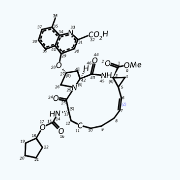 COC(=O)[C@@]12CC1/C=C\CCCCC[C@H](NC(=O)OC1CCCC1)C(=O)N1C[C@H](Oc3cc(C(=O)O)nc4c(C)cccc34)C[C@H]1C(=O)N2